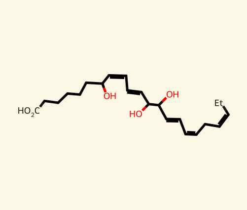 CC/C=C\C/C=C\C=C\C(O)C(O)/C=C/C=C\C(O)CCCCCC(=O)O